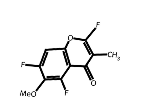 COc1c(F)cc2oc(F)c(C)c(=O)c2c1F